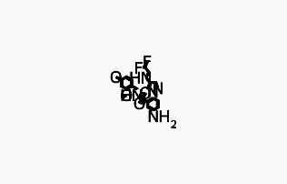 COc1ccc(CNS(=O)(=O)c2cc(N)ccc2-n2cc(NCC(F)F)cn2)c(OC)c1